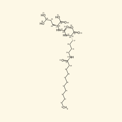 CCCCCCCCCCCC(=O)NCCCC[C@H](NC(=O)N[C@@H](CCC(O)O)C(=O)O)C(=O)O